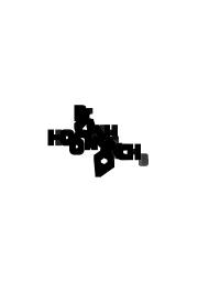 Cn1nc(-c2nc3c(C(=O)O)cc(Br)cc3[nH]2)c2c1CC1CC1C2